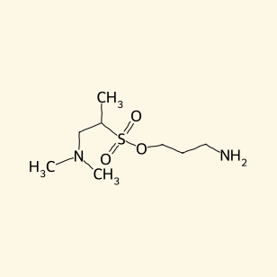 CC(CN(C)C)S(=O)(=O)OCCCN